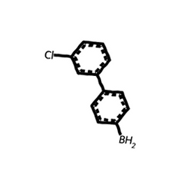 Bc1ccc(-c2cccc(Cl)c2)cc1